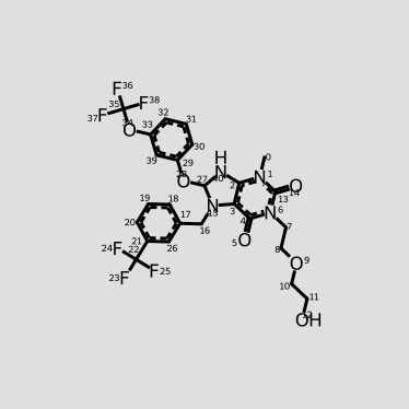 Cn1c2c(c(=O)n(CCOCCO)c1=O)N(Cc1cccc(C(F)(F)F)c1)C(Oc1cccc(OC(F)(F)F)c1)N2